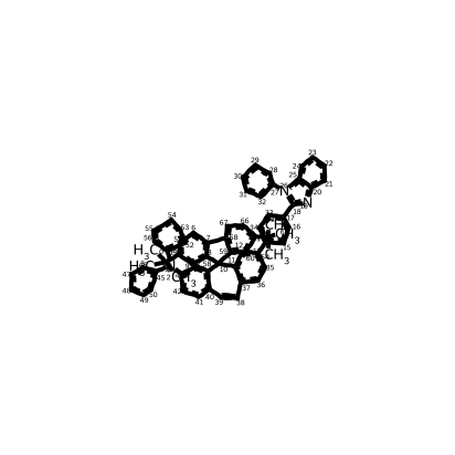 CC(C)(C)c1ccc2c(c1)C1(c3cc(-c4ccc(-c5nc6ccccc6n5-c5ccccc5)cc4)ccc3C=Cc3ccc(N(c4ccccc4)c4ccccc4)cc31)c1cc(C(C)(C)C)ccc1-2